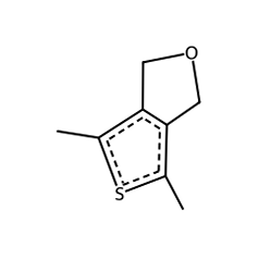 Cc1sc(C)c2c1COC2